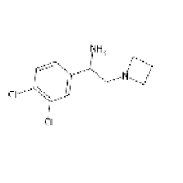 NC(CN1CCC1)c1ccc(Cl)c(Cl)c1